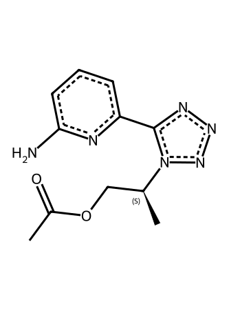 CC(=O)OC[C@H](C)n1nnnc1-c1cccc(N)n1